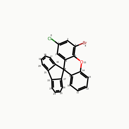 Clc1cc(Br)c2c(c1)C1(c3ccccc3O2)c2ccccc2-c2ccccc21